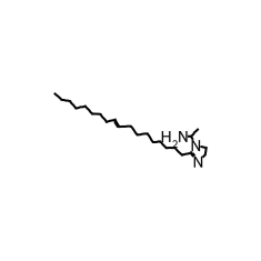 CCCCCCCCC=CCCCCCCCCC1=NCCN1C(C)N